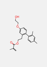 C=C(C)C(=O)OCCc1cc(OCCO)ccc1-c1ccc(C)cc1C